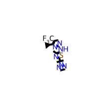 Cc1nc(C(C)(C)n2nccn2)sc1Nc1ncc(C(F)(F)F)c(C2CC2)n1